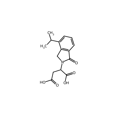 CC(C)c1cccc2c1CN(C(CC(=O)O)C(=O)O)C2=O